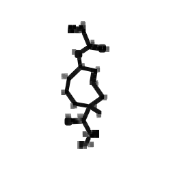 CNC(=O)OC1/C=C/CC(C)(C(=O)NC(C)C)CCC1